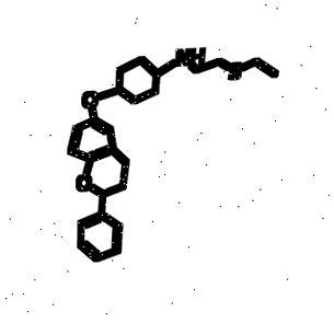 CCSCCNC1CCC(Oc2ccc3c(c2)CCC(c2ccccc2)O3)CC1